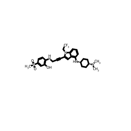 CN(C)[C@H]1CC[C@@H](Nc2cccc3c2cc(C#CCNc2ccc(S(C)(=O)=O)cc2O)n3CC(F)(F)F)CC1